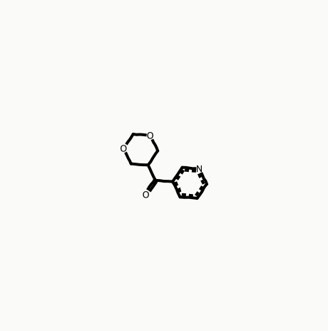 O=C(c1cccnc1)C1COCOC1